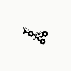 N[C@H]1C[C@H]1c1ccc(NC(=O)C(Cc2ccccc2)N(Cc2ccccc2)C(=O)O)cc1